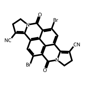 N#CC1=c2c3cc(Br)c4c(=O)n5c(c6cc(Br)c(c(=O)n2CC1)c3c64)=C(C#N)CC5